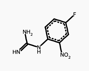 N=C(N)Nc1ccc(F)cc1[N+](=O)[O-]